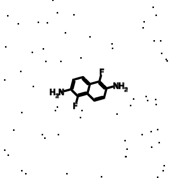 Nc1ccc2c(F)c(N)ccc2c1F